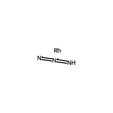 [N-]=[N+]=N.[Rh]